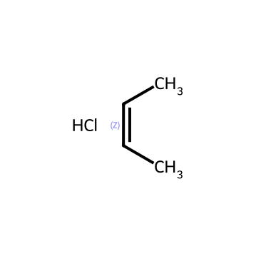 C/C=C\C.Cl